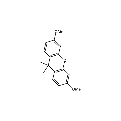 COc1ccc2c(c1)Oc1cc(OC)ccc1C2(C)C